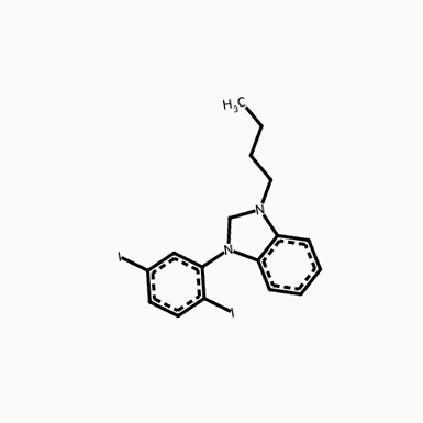 CCCCN1CN(c2cc(I)ccc2I)c2ccccc21